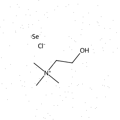 C[N+](C)(C)CCO.[Cl-].[Se]